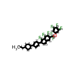 CCCC1CCC(c2ccc(-c3ccc4cc(C(F)(F)Oc5cc(F)c(F)c(F)c5)c(F)c(F)c4c3F)cc2)CC1